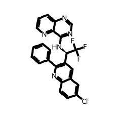 FC(F)(F)[C@H](Nc1ncnc2cccnc12)c1cc2cc(Cl)ccc2nc1-c1ccccc1